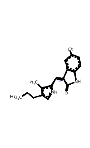 CCc1ccc2c(c1)/C(=C/c1[nH]cc(CCC(=O)O)c1C)C(=O)N2